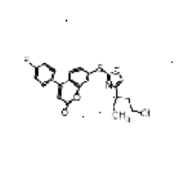 CCC(CCO)c1csc(Sc2ccc3c(-c4ccc(F)cc4)cc(=O)oc3c2)n1